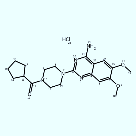 COc1cc2nc(N3CCN(C(=O)C4CCCC4)CC3)nc(N)c2cc1OC.Cl